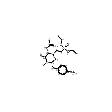 CCOP(=O)(CC[C@H]1O[C@H](Cc2ccc(N)cc2)[C@@H](C)[C@@H](C)[C@@H]1OC(C)=O)OCC